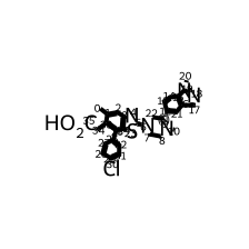 Cc1cc2nc(N3CCN(C)[C@@H](c4ccc5c(cnn5C)c4)C3)sc2c(-c2ccc(Cl)cc2)c1CC(=O)O